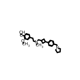 COc1ccc(CCN(C)CC2CC(c3ccc(CN4CCCC4)cc3)C2)cc1OC